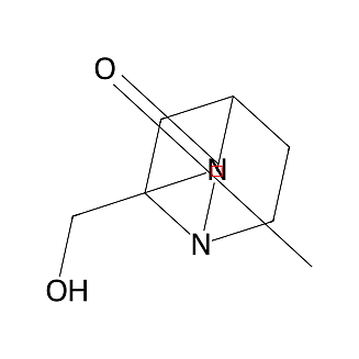 O=C1C2CCN(CC2)N1CO